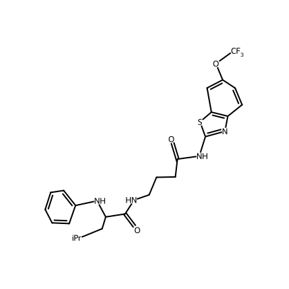 CC(C)CC(Nc1ccccc1)C(=O)NCCCC(=O)Nc1nc2ccc(OC(F)(F)F)cc2s1